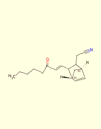 CCCCCC(=O)C=CC1C(CC#N)[C@H]2C=C[C@H]1C2